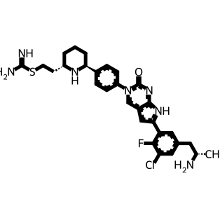 C[C@H](N)Cc1cc(Cl)c(F)c(-c2cc3cn(-c4ccc([C@@H]5CCC[C@@H](CCSC(=N)N)N5)cc4)c(=O)nc3[nH]2)c1